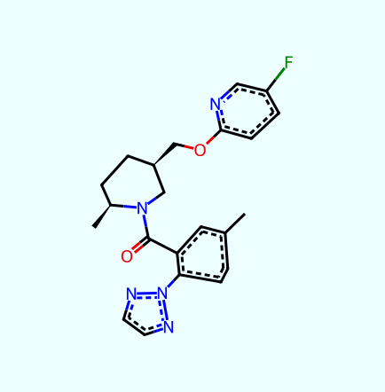 Cc1ccc(-n2nccn2)c(C(=O)N2C[C@H](COc3ccc(F)cn3)CC[C@@H]2C)c1